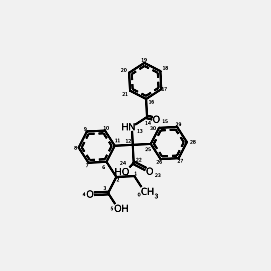 CCC(C(=O)O)c1ccccc1C(NC(=O)c1ccccc1)(C(=O)O)c1ccccc1